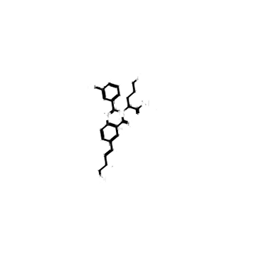 CCCCC(C(N)=O)n1c(-c2cccc(Cl)c2)nc2ccc(/C=C/CCO)cc2c1=O